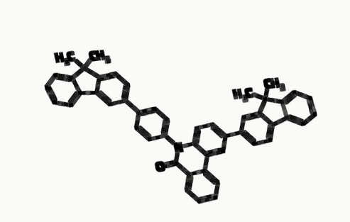 CC1(C)c2ccccc2-c2cc(-c3ccc(-n4c(=O)c5ccccc5c5cc(-c6ccc7c(c6)C(C)(C)c6ccccc6-7)ccc54)cc3)ccc21